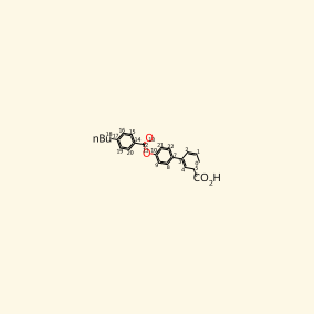 C/C=C\C(=C/CC(=O)O)c1ccc(OC(=O)c2ccc(CCCC)cc2)cc1